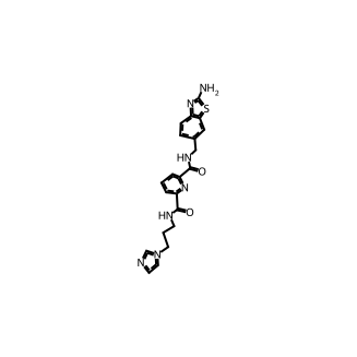 Nc1nc2ccc(CNC(=O)c3cccc(C(=O)NCCCn4ccnc4)n3)cc2s1